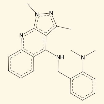 Cc1nn(C)c2nc3ccccc3c(NCc3ccccc3N(C)C)c12